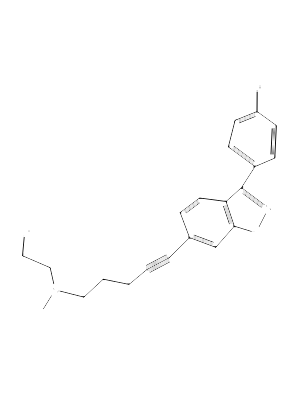 CCN(CCO)CCCC#Cc1ccc2c(-c3ccc(Br)cc3)nsc2c1